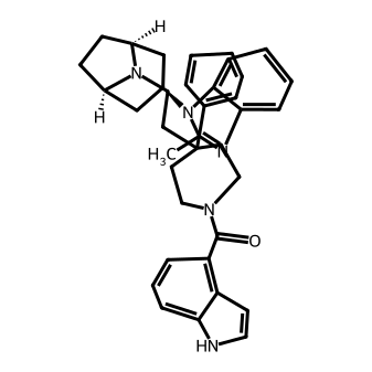 Cc1nc2ccccc2n1[C@H]1C[C@H]2CC[C@@H](C1)N2CCC1(c2ccccc2)CCN(C(=O)c2cccc3[nH]ccc23)CC1